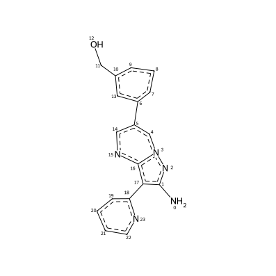 Nc1nn2cc(-c3cccc(CO)c3)cnc2c1-c1ccccn1